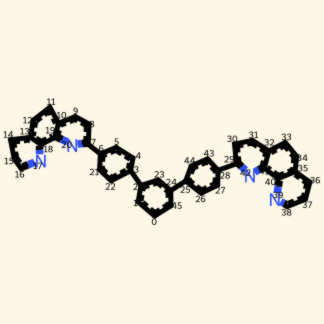 c1cc(-c2ccc(-c3ccc4ccc5cccnc5c4n3)cc2)cc(-c2ccc(-c3ccc4ccc5cccnc5c4n3)cc2)c1